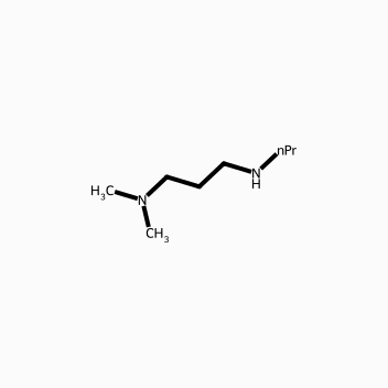 CCCNCCCN(C)C